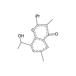 Cc1cc(C(C)O)c2oc(C(C)C)c(C)c(=O)c2c1